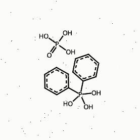 O=P(O)(O)O.OP(O)(O)(c1ccccc1)c1ccccc1